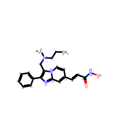 CCCN(C)Cc1c(-c2ccccc2)nc2cc(/C=C/C(=O)NO)ccn12